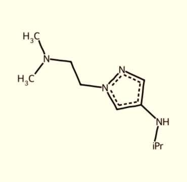 CC(C)Nc1cnn(CCN(C)C)c1